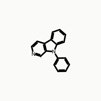 [c]1nccc2c3ccccc3n(-c3ccccc3)c12